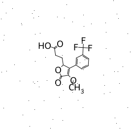 COC1=C(c2cccc(C(F)(F)F)c2)C(CCC(=O)O)OC1=O